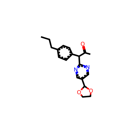 CCCc1ccc(C(C(C)=O)c2ncc(C3OCCO3)cn2)cc1